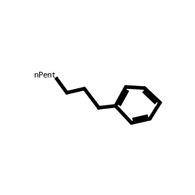 CCCCCCC[C]c1ccccc1